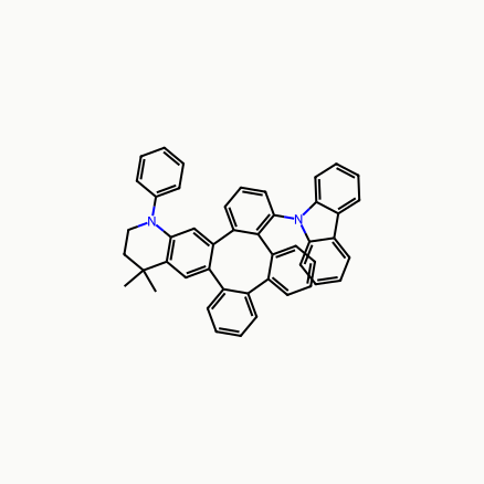 CC1(C)CCN(c2ccccc2)c2cc3c(cc21)-c1ccccc1-c1ccccc1-c1c-3cccc1-n1c2ccccc2c2ccccc21